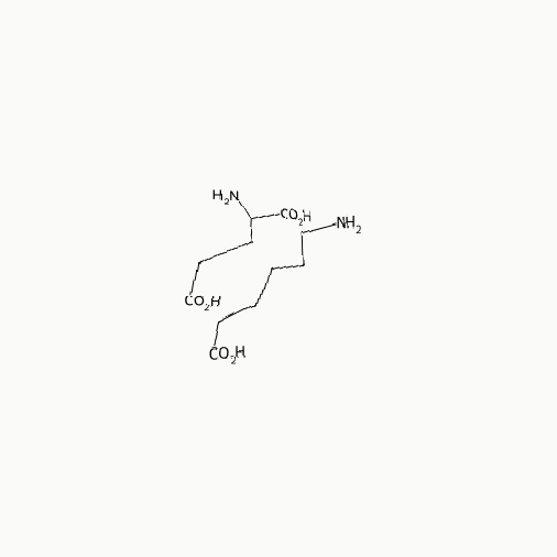 NC(CCC(=O)O)C(=O)O.NCCCCCC(=O)O